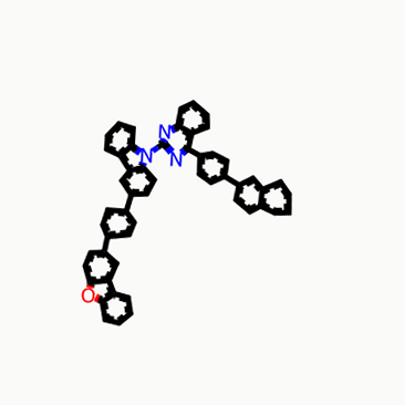 c1ccc2cc(-c3ccc(-c4nc(-n5c6ccccc6c6cc(-c7ccc(-c8ccc9oc%10ccccc%10c9c8)cc7)ccc65)nc5ccccc45)cc3)ccc2c1